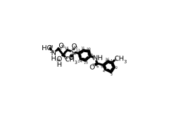 Cc1cccc(C(=O)Nc2ccc(S(=O)(=O)CC(C)(O)C(=O)NO)cc2)c1